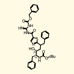 CC(C)(C)OC(=O)N[C@@H](Cc1ccccc1)[C@@H](O)CC(Cc1ccccc1)c1ncc(C(=O)NC(=N)NC(=O)OCc2ccccc2)s1